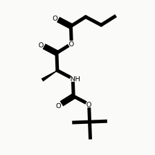 CCCC(=O)OC(=O)[C@H](C)NC(=O)OC(C)(C)C